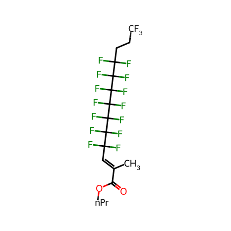 CCCOC(=O)C(C)=CC(F)(F)C(F)(F)C(F)(F)C(F)(F)C(F)(F)C(F)(F)C(F)(F)CCC(F)(F)F